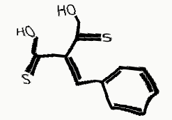 OC(=S)C(=Cc1ccccc1)C(O)=S